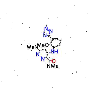 CNC(=O)c1nnc(NC)cc1Nc1cccc(-c2ncn(C)n2)c1OC